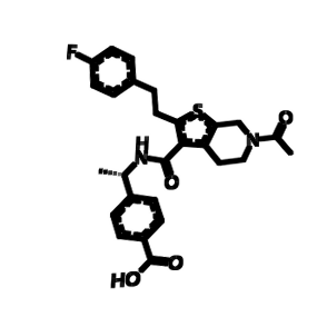 CC(=O)N1CCc2c(sc(CCc3ccc(F)cc3)c2C(=O)N[C@@H](C)c2ccc(C(=O)O)cc2)C1